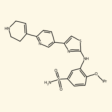 CC(C)Oc1ccc(S(N)(=O)=O)cc1Nc1nc(-c2ccc(C3=CCNCC3)nc2)cs1